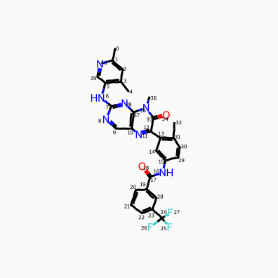 Cc1cc(C)c(Nc2ncc3nc(-c4cc(NC(=O)c5cccc(C(F)(F)F)c5)ccc4C)c(=O)n(C)c3n2)cn1